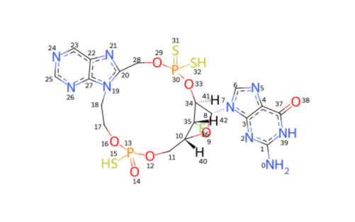 Nc1nc2c(ncn2[C@@H]2O[C@@H]3COP(=O)(S)OCCn4c(nc5cncnc54)COP(=S)(S)O[C@@H]2[C@@H]3F)c(=O)[nH]1